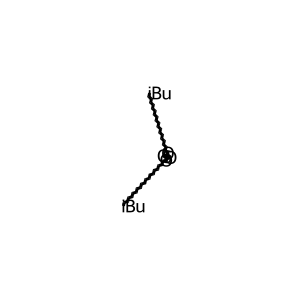 CCC(C)CCCCCCCCCCCCCCCCCCCOS(=O)(=O)OCCCCCCCCCCCCCCCCCCCC(C)CC